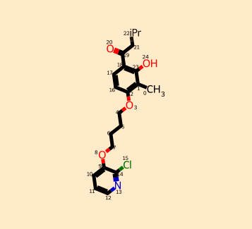 Cc1c(OCCCCOc2cccnc2Cl)ccc(C(=O)CC(C)C)c1O